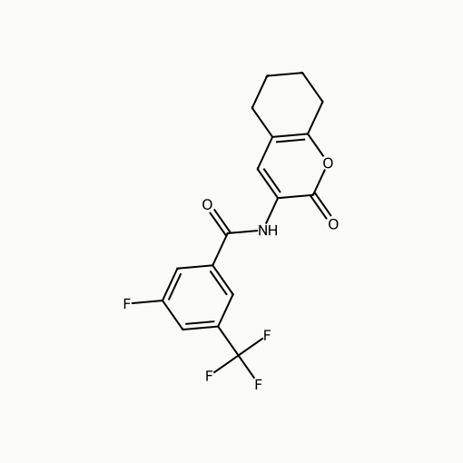 O=C(Nc1cc2c(oc1=O)CCCC2)c1cc(F)cc(C(F)(F)F)c1